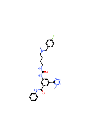 CN(CCCCNC(=O)Nc1cc(C(=O)Nc2ccccc2)cc(-c2nnnn2C)c1)Cc1ccc(F)cc1